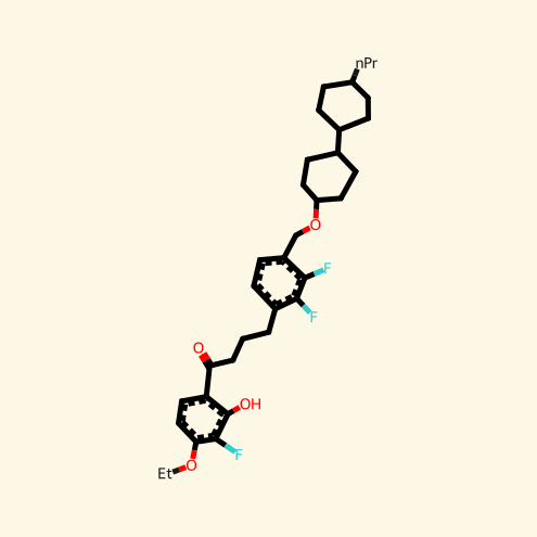 CCCC1CCC(C2CCC(OCc3ccc(CCCC(=O)c4ccc(OCC)c(F)c4O)c(F)c3F)CC2)CC1